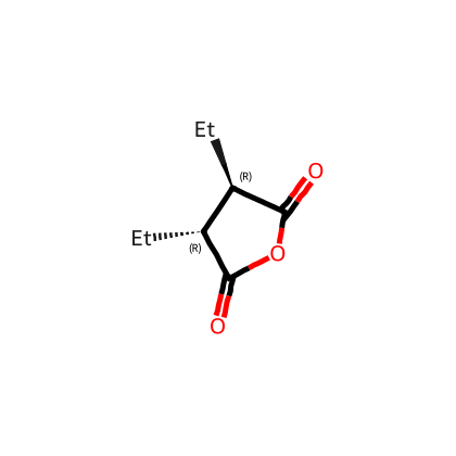 CC[C@H]1C(=O)OC(=O)[C@@H]1CC